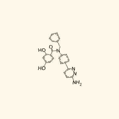 Nc1ccc(-c2ccc(N(Cc3ccccc3)C(=O)c3ccc(O)cc3O)cc2)nn1